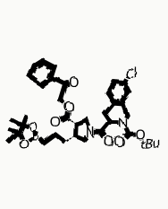 CC(C)(C)OC(=O)N1Cc2cc(Cl)ccc2CC1C(=O)N1C[C@H](CCCB2OC(C)(C)C(C)(C)O2)[C@H](C(=O)OCC(=O)c2ccccc2)C1